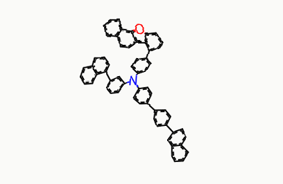 c1cc(-c2cccc3ccccc23)cc(N(c2ccc(-c3ccc(-c4ccc5ccccc5c4)cc3)cc2)c2ccc(-c3cccc4oc5c6ccccc6ccc5c34)cc2)c1